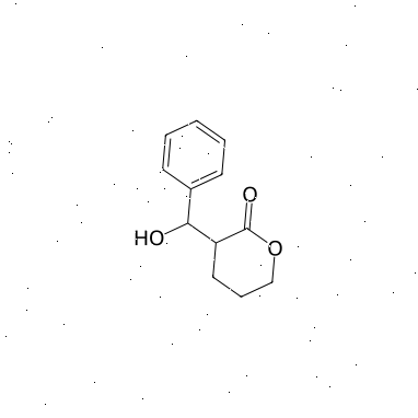 O=C1OCCCC1C(O)c1ccccc1